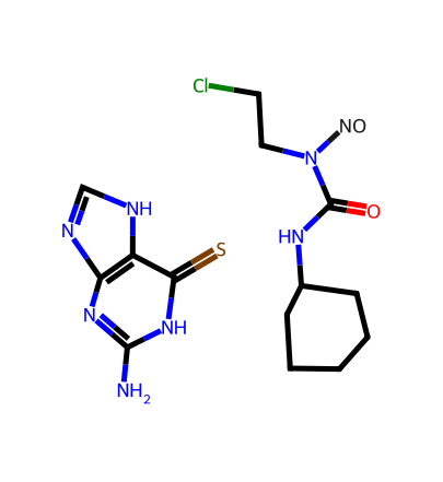 Nc1nc2nc[nH]c2c(=S)[nH]1.O=NN(CCCl)C(=O)NC1CCCCC1